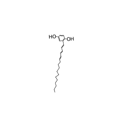 CCCCCCCCCCCC=CC=CC=Cc1cc(O)ccc1O